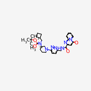 CC(C)(C)OC(=O)N(CC1CCC1)[C@@H]1CCCN(c2ccc(CNC(=O)c3cc(=O)n4ccccc4n3)nn2)C1